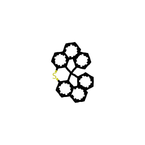 c1ccc(C2(c3ccccc3)c3c(ccc4ccccc34)Sc3ccc4ccccc4c32)cc1